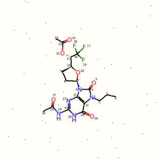 CCCn1c(=O)n([C@H]2CC[C@@H]([C@H](OC(C)=O)C(F)(F)F)O2)c2nc(NC(C)=O)[nH]c(=O)c21